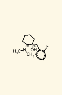 CN(C)[C@@H]1CCCC[C@@]1(O)Cc1ccccc1F